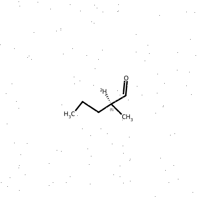 [2H][C@@](C)(C=O)CCC